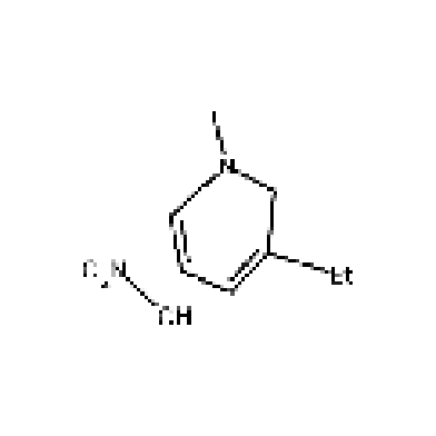 CCC1=CC=CN(C)C1.O=[N+]([O-])O